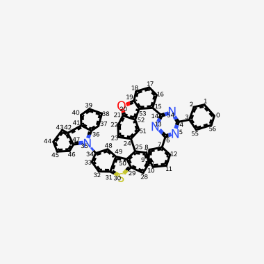 c1ccc(-c2nc(-c3ccccc3)nc(-c3cccc4oc5ccc(-c6cccc7sc8ccc(-n9c%10ccccc%10c%10ccccc%109)cc8c67)cc5c34)n2)cc1